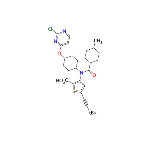 CC1CCC(C(=O)N(c2cc(C#CC(C)(C)C)sc2C(=O)O)C2CCC(Oc3ccnc(Cl)n3)CC2)CC1